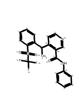 CC(c1ccc[c]c1S(=O)(=O)C(F)(F)F)c1ccncc1C(=O)Nc1ccccc1